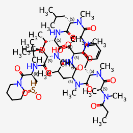 CCC(=O)N(C)[C@@H](C)C(=O)N(C)[C@@H](Cc1ccccc1)C(=O)N(C)[C@@H](CC(C)C)C(=O)N[C@H](C(=O)N(C)CC(=O)N(C)[C@@H](CC(C)C)C(=O)N[C@@H](COC(C)(C)C)C(=O)N(C)[C@H](C(=O)N[C@@H](C[SH](=O)=O)C(=O)N1CCCCC1)[C@@H](C)CC)[C@@H](C)O